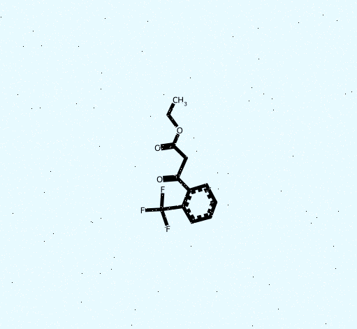 CCOC(=O)CC(=O)c1ccccc1C(F)(F)F